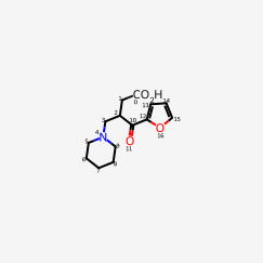 O=C(O)CC(CN1CCCCC1)C(=O)c1ccco1